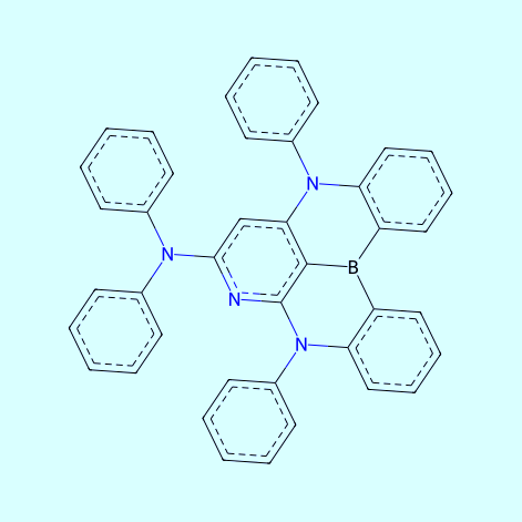 c1ccc(N(c2ccccc2)c2cc3c4c(n2)N(c2ccccc2)c2ccccc2B4c2ccccc2N3c2ccccc2)cc1